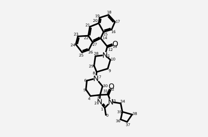 CC1=NC2(CCCN(C3CCN(C(=O)c4c5ccccc5cc5ccccc45)CC3)C2)C(=O)N1CC1CCC1